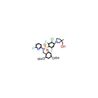 COc1ccc(CN(c2cccc(F)n2)S(=O)(=O)c2c(F)cc(N3CCC(C)(CO)C3)c(Cl)c2F)c(OC)c1